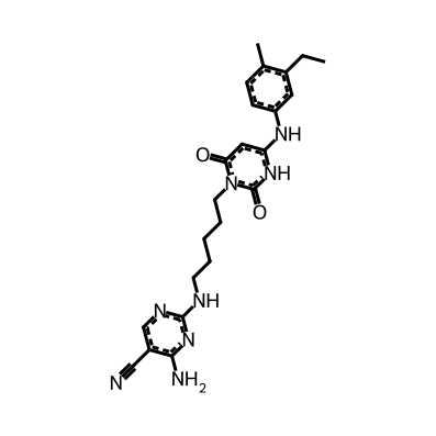 CCc1cc(Nc2cc(=O)n(CCCCCNc3ncc(C#N)c(N)n3)c(=O)[nH]2)ccc1C